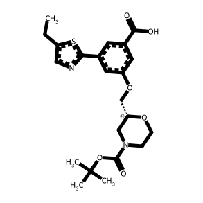 CCc1cnc(-c2cc(OC[C@H]3CN(C(=O)OC(C)(C)C)CCO3)cc(C(=O)O)c2)s1